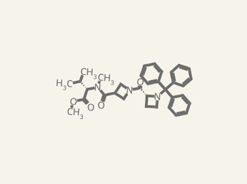 COC(=O)[C@H](C(C)C)N(C)C(=O)C1CN(C(=O)[C@H]2CCN2C(c2ccccc2)(c2ccccc2)c2ccccc2)C1